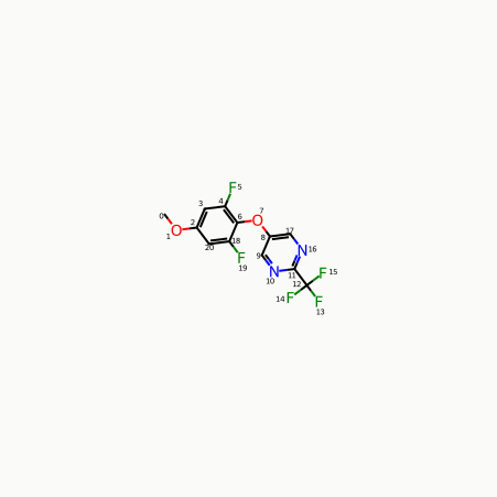 COc1cc(F)c(Oc2cnc(C(F)(F)F)nc2)c(F)c1